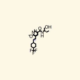 CC[C@H](CO)NC(=O)c1cc(/C=C/C2CCC(C(F)(F)F)CC2)c(OC)nn1